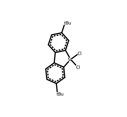 CC(C)(C)c1ccc2c(c1)[Si](Cl)(Cl)c1cc(C(C)(C)C)ccc1-2